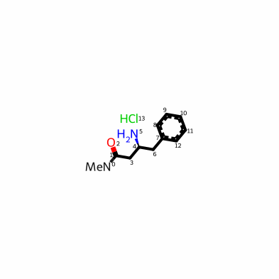 CNC(=O)C[C@@H](N)Cc1ccccc1.Cl